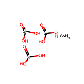 O=[Si](O)O.O=[Si](O)O.O=[Si](O)O.[AsH3]